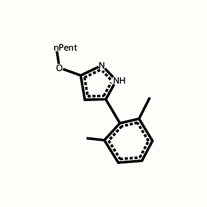 CCCCCOc1cc(-c2c(C)cccc2C)[nH]n1